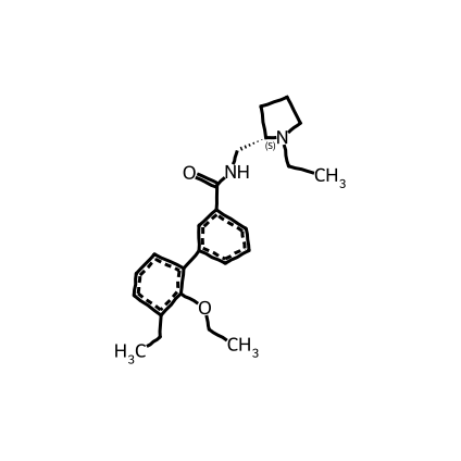 CCOc1c(CC)cccc1-c1cccc(C(=O)NC[C@@H]2CCCN2CC)c1